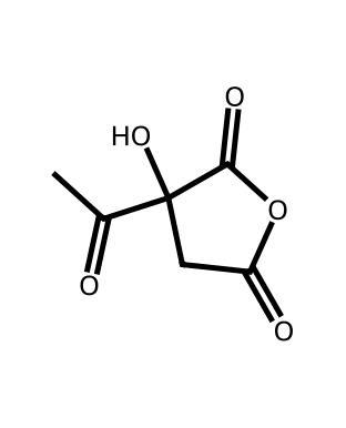 CC(=O)C1(O)CC(=O)OC1=O